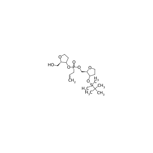 C=CCP(=O)(OC[C@H]1OCCC1O[Si](C)(C)C(C)(C)C)OC1CCO[C@@H]1CO